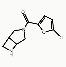 O=C(c1ccc(Cl)o1)N1CC2CNC2C1